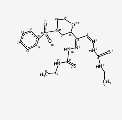 CCNC(=S)N/N=C\C(=N\NC(=S)NCC)C1CN(S(=O)(=O)c2ccccc2)CCO1